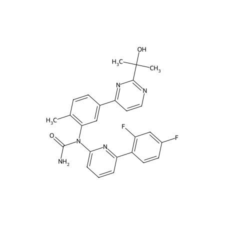 Cc1ccc(-c2ccnc(C(C)(C)O)n2)cc1N(C(N)=O)c1cccc(-c2ccc(F)cc2F)n1